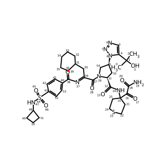 CC(C)(O)c1cnnn1[C@H]1C[C@@H](C(=O)NC2(C(=O)C(N)=O)CCSCC2)N(C(=O)/C(CC2CCCCC2)=N/C(=O)c2ccc(S(=O)(=O)NC3CCC3)cc2)C1